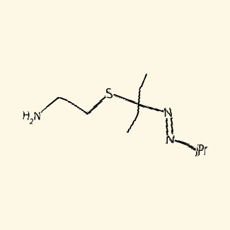 CC(C)/N=N/C(C)(C)SCCN